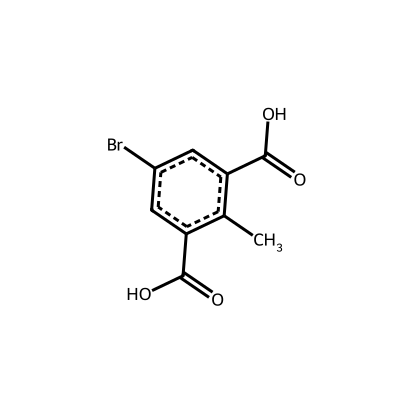 Cc1c(C(=O)O)cc(Br)cc1C(=O)O